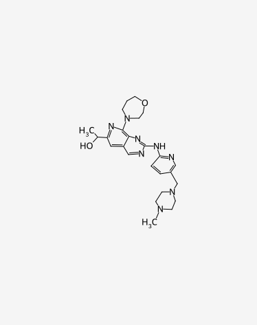 CC(O)c1cc2cnc(Nc3ccc(CN4CCN(C)CC4)cn3)nc2c(N2CCCOCC2)n1